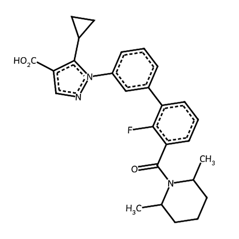 CC1CCCC(C)N1C(=O)c1cccc(-c2cccc(-n3ncc(C(=O)O)c3C3CC3)c2)c1F